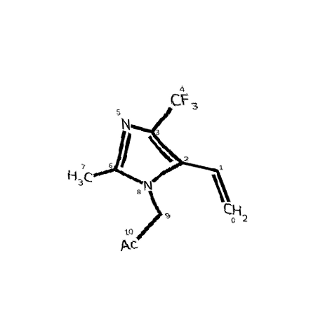 C=Cc1c(C(F)(F)F)nc(C)n1CC(C)=O